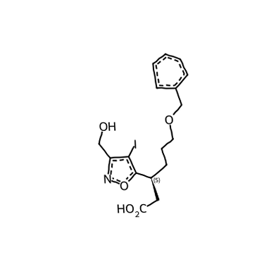 O=C(O)C[C@H](CCCOCc1ccccc1)c1onc(CO)c1I